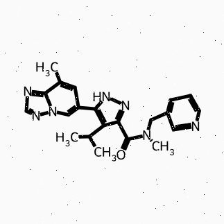 Cc1cc(-c2[nH]nc(C(=O)N(C)Cc3cccnc3)c2C(C)C)cn2ncnc12